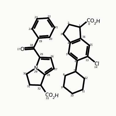 O=C(O)C1CCc2cc(C3CCCCC3)c(Cl)cc21.O=C(c1ccccc1)c1ccc2n1CCC2C(=O)O